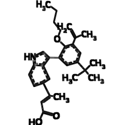 C=C(C)c1cc(C(C)(C)C)cc(-c2c[nH]c3ccc(/C(C)=C/C(=O)O)cc23)c1OCCCC